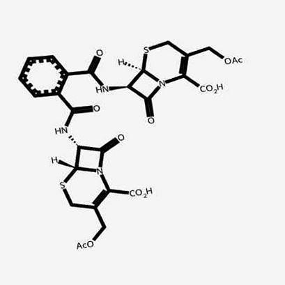 CC(=O)OCC1=C(C(=O)O)N2C(=O)[C@@H](NC(=O)c3ccccc3C(=O)N[C@@H]3C(=O)N4C(C(=O)O)=C(COC(C)=O)CS[C@H]34)[C@H]2SC1